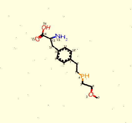 COCCPCCc1ccc(CC(N)C(=O)O)cc1